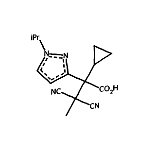 CC(C)n1ccc(C(C(=O)O)(C2CC2)C(C)(C#N)C#N)n1